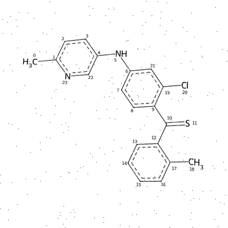 Cc1ccc(Nc2ccc(C(=S)c3ccccc3C)c(Cl)c2)cn1